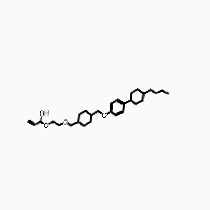 C=CC(O)OCCOCC1CCC(COc2ccc(C3CCC(CCCC)CC3)cc2)CC1